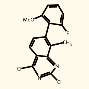 COc1cccc(F)c1-c1ccc2c(Cl)nc(Cl)nc2c1C